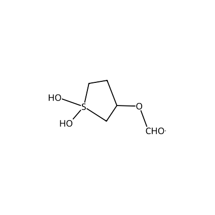 O=[C]OC1CCS(O)(O)C1